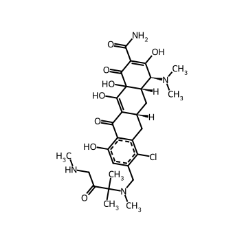 CNCC(=O)C(C)(C)N(C)Cc1cc(O)c2c(c1Cl)C[C@H]1C[C@H]3[C@H](N(C)C)C(O)=C(C(N)=O)C(=O)C3(O)C(O)=C1C2=O